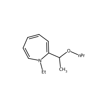 CCCO[C](C)C1=CC=CC=CN1CC